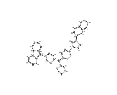 c1ccc(N(c2ccc(-c3nc(-c4ccc5ccccc5c4)no3)cc2)c2ccc(-n3c4ccccc4c4ccccc43)cc2)cc1